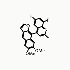 COc1cc2cc3ccoc3c(-c3cc(C)nc4c(F)cc(F)cc34)c2cc1OC